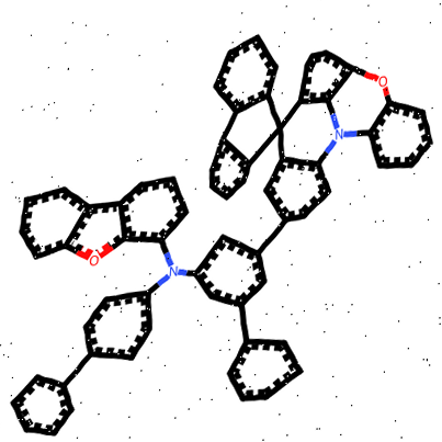 c1ccc(-c2ccc(N(c3cc(-c4ccccc4)cc(-c4ccc5c(c4)C4(c6ccccc6-c6ccccc64)c4cccc6c4N5c4ccccc4O6)c3)c3cccc4c3oc3ccccc34)cc2)cc1